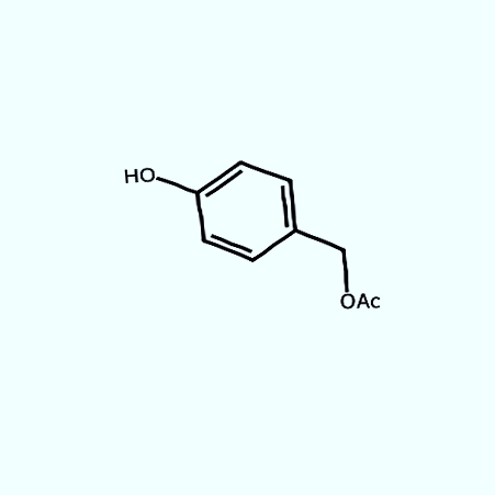 [CH2]C(=O)OCc1ccc(O)cc1